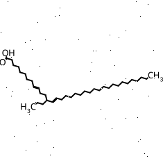 CCCCCCCCCCCCCCCCCCCCC=CC(CCC)CCC=CCCCCCCCC(=O)O